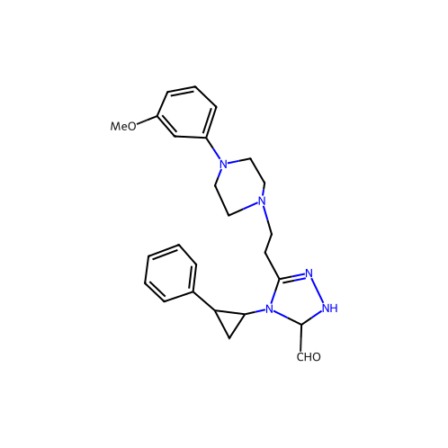 COc1cccc(N2CCN(CCC3=NNC(C=O)N3C3CC3c3ccccc3)CC2)c1